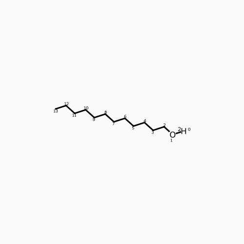 [2H]OCCCCCCCCCCCC